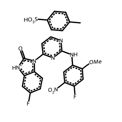 COc1cc(F)c([N+](=O)[O-])cc1Nc1nccc(-n2c(=O)[nH]c3cc(F)ccc32)n1.Cc1ccc(S(=O)(=O)O)cc1